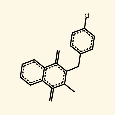 C=c1c(C)c(Cc2ccc(Cl)cc2)c(=C)c2ccccc12